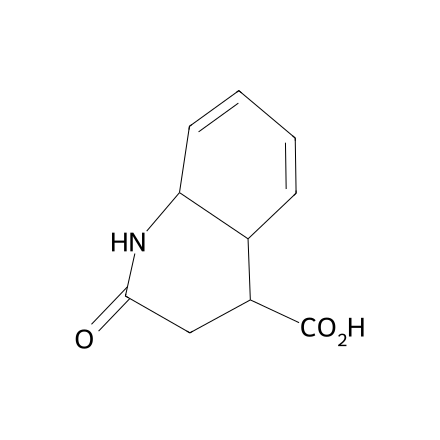 O=C1CC(C(=O)O)C2C=CC=CC2N1